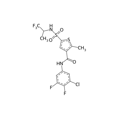 Cc1sc(S(=O)(=O)NC(C)C(F)(F)F)cc1C(=O)Nc1cc(F)c(F)c(Cl)c1